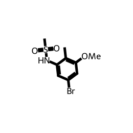 COc1cc(Br)cc(NS(C)(=O)=O)c1C